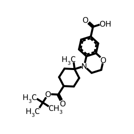 CC(C)(C)OC(=O)C1CCC(C)(N2CCOc3cc(C(=O)O)ccc32)CC1